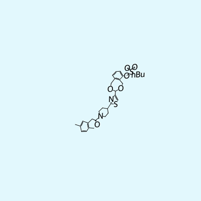 CCCCS(=O)(=O)Oc1cccc2c1COC(c1csc(C3CCN(C(=O)Cc4cc(C)ccc4C)CC3)n1)OC2